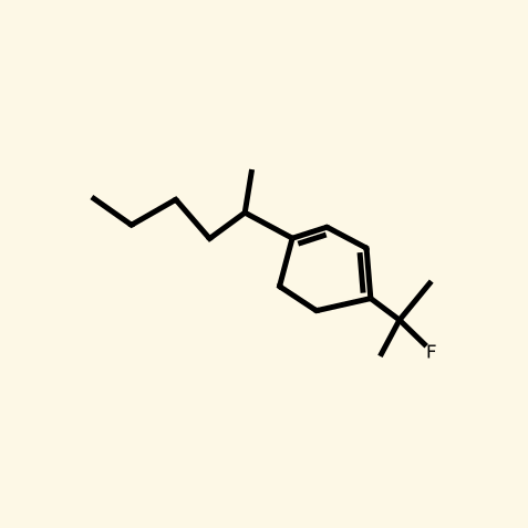 CCCCC(C)C1=CC=C(C(C)(C)F)CC1